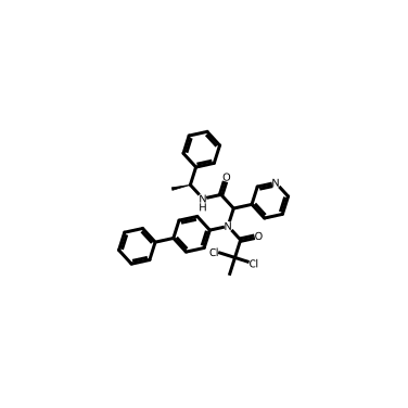 C[C@H](NC(=O)C(c1cccnc1)N(C(=O)C(C)(Cl)Cl)c1ccc(-c2ccccc2)cc1)c1ccccc1